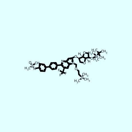 CC(C)(C)[Si](C)(C)OC1CO[C@H]2[C@@H]1OC[C@H]2Oc1cc2nc(-c3ccc(-c4ccc(N=S(C)(C)=O)cc4)cc3)c(C(F)(F)F)cc2n1COCC[Si](C)(C)C